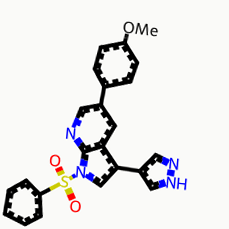 COc1ccc(-c2cnc3c(c2)c(-c2cn[nH]c2)cn3S(=O)(=O)c2ccccc2)cc1